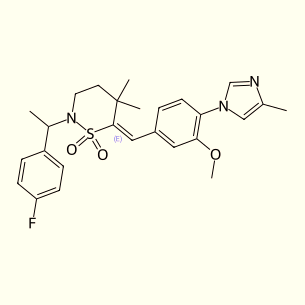 COc1cc(/C=C2\C(C)(C)CCN(C(C)c3ccc(F)cc3)S2(=O)=O)ccc1-n1cnc(C)c1